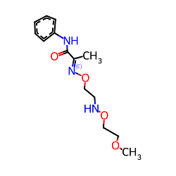 COCCONCCO/N=C(\C)C(=O)Nc1ccccc1